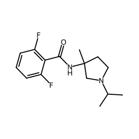 CC(C)N1CCC(C)(NC(=O)c2c(F)cccc2F)C1